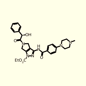 CCOC(=O)n1nc(NC(=O)c2ccc(N3CCN(C)CC3)cc2)c2c1CN(C(=O)[C@H](O)c1ccccc1)C2